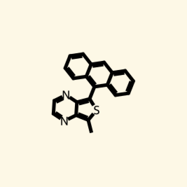 Cc1sc(-c2c3ccccc3cc3ccccc23)c2nccnc12